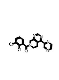 O=C(c1cccc(Cl)c1Cl)N1CCc2c(ncnc2-c2cnccn2)C1